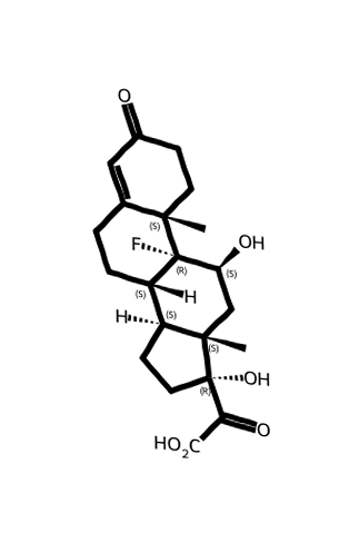 C[C@]12CCC(=O)C=C1CC[C@H]1[C@@H]3CC[C@](O)(C(=O)C(=O)O)[C@@]3(C)C[C@H](O)[C@@]12F